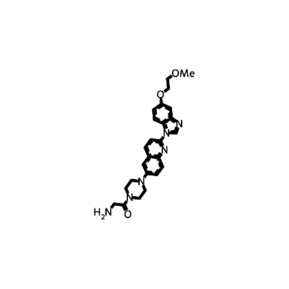 COCCOc1ccc2c(c1)ncn2-c1ccc2cc(N3CCN(C(=O)CN)CC3)ccc2n1